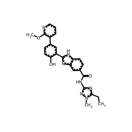 CCc1nc(NC(=O)c2ccc3[nH]c(-c4cc(-c5cccnc5OC)ccc4O)nc3c2)nn1C